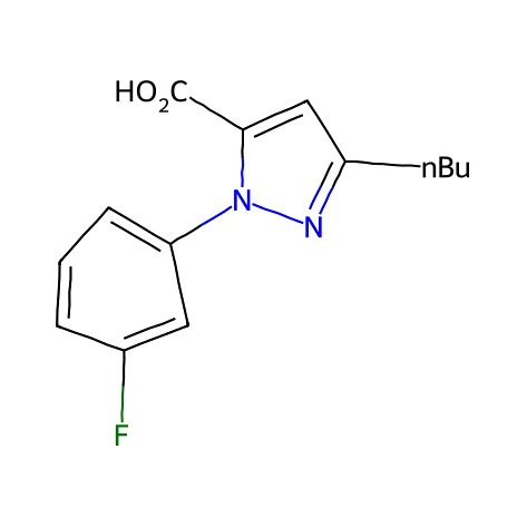 CCCCc1cc(C(=O)O)n(-c2cccc(F)c2)n1